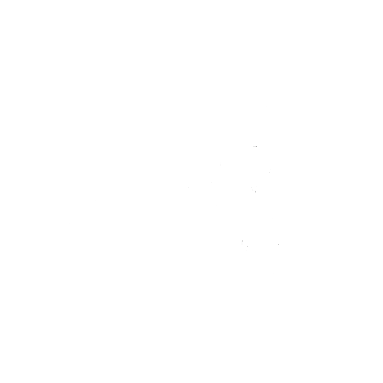 CC(C)(C)OC(=O)N1C(=O)C(C=O)CC1C(C)(C)c1ccc(-c2ccccc2)cc1